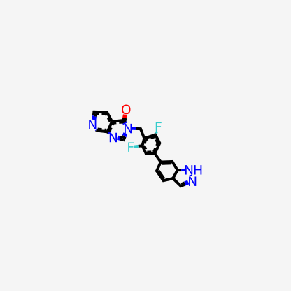 O=c1c2ccncc2ncn1Cc1c(F)cc(C2=CC3NN=CC3C=C2)cc1F